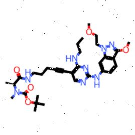 CCCNc1nc(Nc2ccc3c(OC)nn(CCOC)c3c2)ncc1C#CCCCNC(=O)[C@H](C)N(C)C(=O)OC(C)(C)C